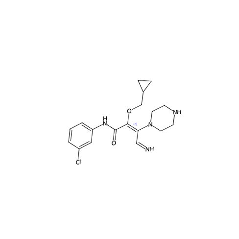 N=C/C(=C(/OCC1CC1)C(=O)Nc1cccc(Cl)c1)N1CCNCC1